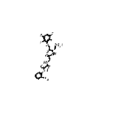 O=C(O)C[C@H](NC(=O)CNC(=O)C(=O)Nc1ccccc1C(F)(F)F)C(=O)COc1c(F)c(F)cc(F)c1F